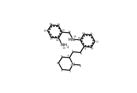 CN1CCCCC1CCc1ccccc1NCc1ccccc1N